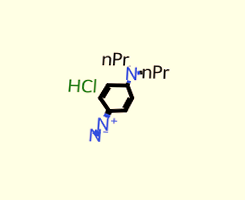 CCCN(CCC)C1C=CC(=[N+]=[N-])C=C1.Cl